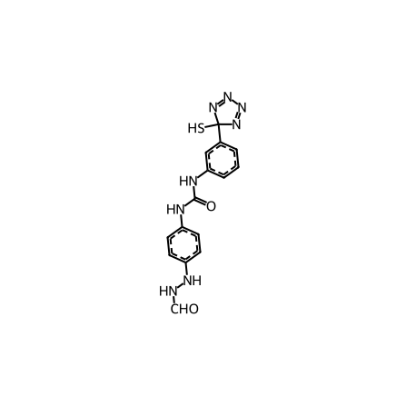 O=CNNc1ccc(NC(=O)Nc2cccc(C3(S)N=NN=N3)c2)cc1